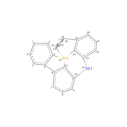 c1ccc2c(c1)-c1cccc3c1[PH]21c2ccccc2-c2cccc(c21)N3